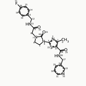 Cc1nc(N2CCN(CC(=O)NCc3ccc(F)cc3)C2=O)sc1C(=O)NCc1cccnc1